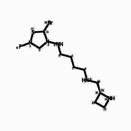 FN1CN(NCCCCNC[C@@H]2CCN2)C(Br)S1